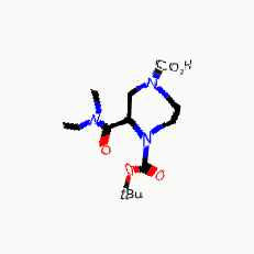 CN(C)C(=O)C1CN(C(=O)O)CCN1C(=O)OC(C)(C)C